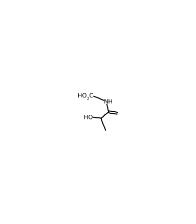 C=C(NC(=O)O)C(C)O